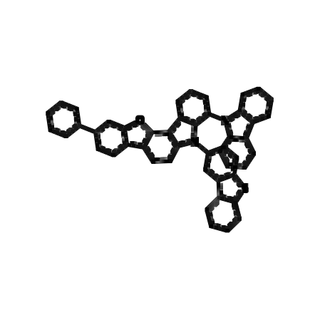 c1ccc(-c2ccc3c(c2)oc2c3ccc3c2c2cccc(-n4c5ccccc5c5ccccc54)c2n3-c2ccc3sc4ccccc4c3c2)cc1